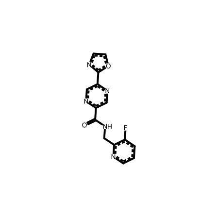 O=C(NCc1ncccc1F)c1cnc(-c2ncco2)cn1